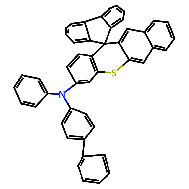 c1ccc(-c2ccc(N(c3ccccc3)c3ccc4c(c3)Sc3cc5ccccc5cc3C43c4ccccc4-c4ccccc43)cc2)cc1